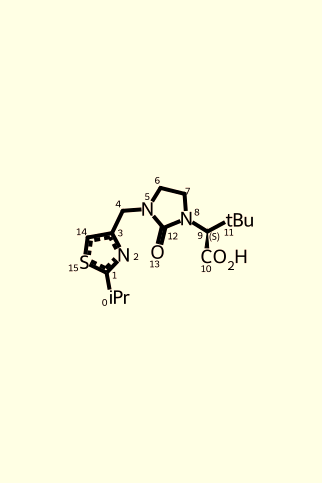 CC(C)c1nc(CN2CCN([C@H](C(=O)O)C(C)(C)C)C2=O)cs1